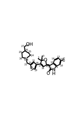 CC1(C)O/C(=C2/C(=O)Nc3cc(F)ccc32)C=C1c1csc(CN2CCC(CO)CC2)c1